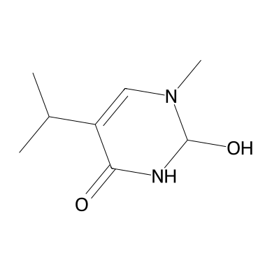 CC(C)C1=CN(C)C(O)NC1=O